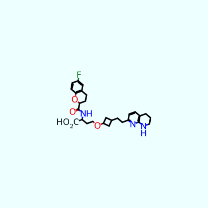 O=C(O)C(CCOC1CC(CCc2ccc3c(n2)NCCC3)C1)NC(=O)C1CCc2cc(F)ccc2O1